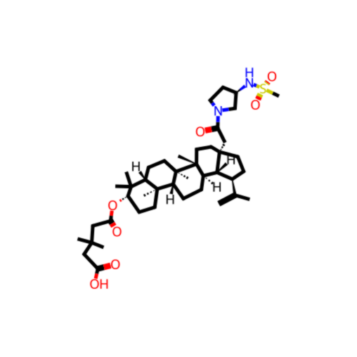 C=C(C)[C@@H]1CC[C@]2(CC(=O)N3CC[C@@H](NS(C)(=O)=O)C3)CC[C@]3(C)[C@H](CC[C@@H]4[C@@]5(C)CC[C@H](OC(=O)CC(C)(C)CC(=O)O)C(C)(C)[C@@H]5CC[C@]43C)[C@@H]12